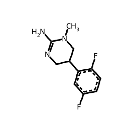 CN1CC(c2cc(F)ccc2F)CN=C1N